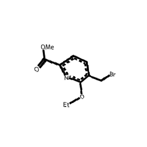 CCOc1nc(C(=O)OC)ccc1CBr